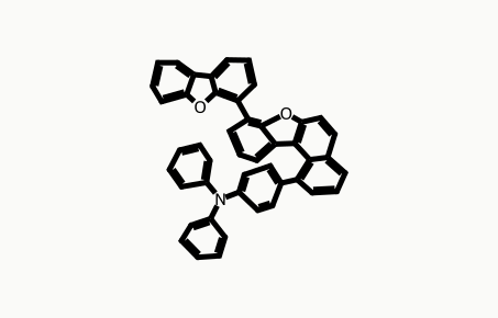 c1ccc(N(c2ccccc2)c2ccc(-c3cccc4ccc5oc6c(-c7cccc8c7oc7ccccc78)cccc6c5c34)cc2)cc1